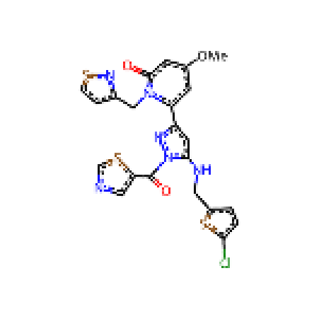 COc1cc(-c2cc(NCc3ccc(Cl)s3)n(C(=O)c3cncs3)n2)n(Cc2ccsn2)c(=O)c1